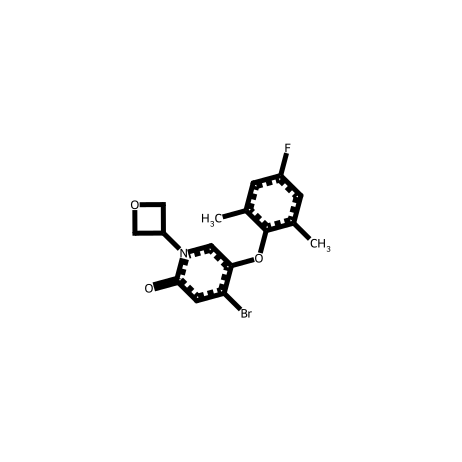 Cc1cc(F)cc(C)c1Oc1cn(C2COC2)c(=O)cc1Br